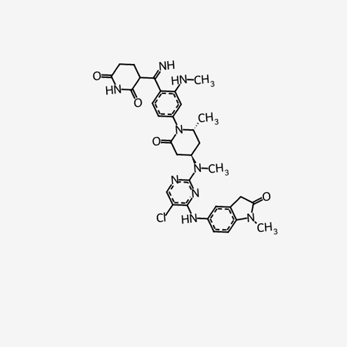 CNc1cc(N2C(=O)C[C@H](N(C)c3ncc(Cl)c(Nc4ccc5c(c4)CC(=O)N5C)n3)C[C@H]2C)ccc1C(=N)C1CCC(=O)NC1=O